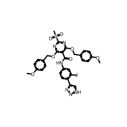 COc1ccc(COc2nc(S(C)(=O)=O)nc(OCc3ccc(OC)cc3)c2C(=O)Nc2ccc(-c3c[nH]nn3)c(F)c2)cc1